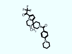 CN1CCn2c(C(=O)C(F)(F)F)ccc2C12CCN(C(=O)c1ccc(N3CCCCC3)cc1)CC2